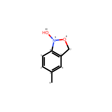 Cc1ccc2c(c1)CON2O